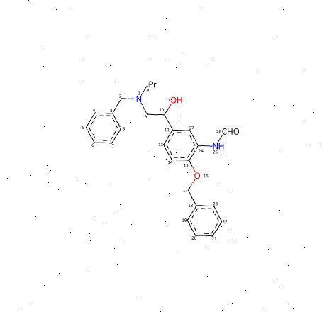 CC(C)N(Cc1ccccc1)CC(O)c1ccc(OCc2ccccc2)c(NC=O)c1